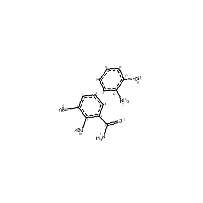 CCCCc1cccc(C(N)=O)c1CCCC.Nc1ccccc1O